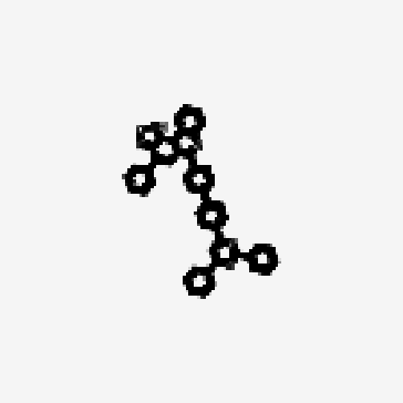 C1=C(c2ccccc2)C2=NONC2c2c1c(-c1ccc(-c3ccc(-c4cc(-c5ccccc5)nc(-c5ccccc5)n4)cc3)cc1)nc1ccccc21